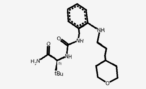 CC(C)(C)[C@H](NC(=O)Nc1ccccc1NCCC1CCOCC1)C(N)=O